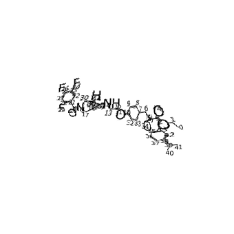 CCOC(=O)[C@H](Cc1ccc(OCCN[C@H]2C3CN(C(=O)c4cc(F)c(F)cc4F)C[C@@H]32)cc1)Oc1ccc(C(C)C)cc1